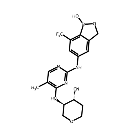 Cc1cnc(Nc2cc3c(c(C(F)(F)F)c2)B(O)OC3)nc1N[C@@H]1COCC[C@H]1C#N